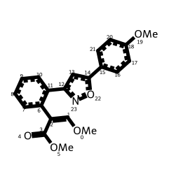 COC=C(C(=O)OC)c1ccccc1-c1cc(-c2ccc(OC)cc2)on1